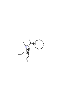 C/C=C(/C[SiH](CCC)CCC)C(C)N1CCCCCCC1